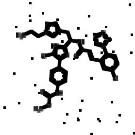 CCCn1cc(CC(NC(=O)C=Cc2cc(Cl)ccc2-n2cnnn2)c2nc(-c3ccc(NC(=O)OC)cc3)c(Cl)[nH]2)cn1